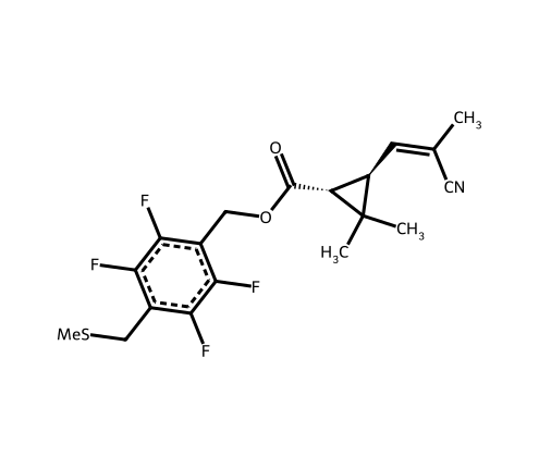 CSCc1c(F)c(F)c(COC(=O)[C@@H]2[C@@H](/C=C(/C)C#N)C2(C)C)c(F)c1F